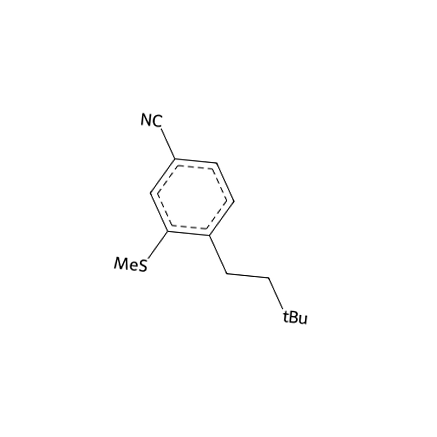 CSc1cc(C#N)ccc1CCC(C)(C)C